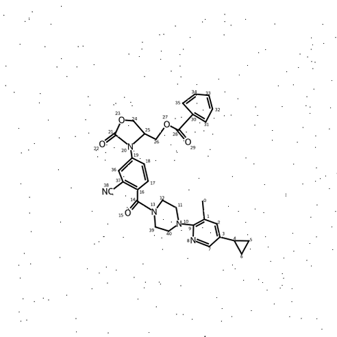 Cc1cc(C2CC2)cnc1N1CCN(C(=O)c2ccc(N3C(=O)OCC3COC(=O)c3ccccc3)cc2C#N)CC1